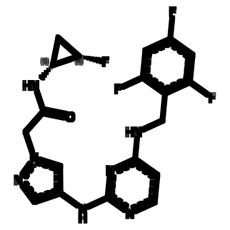 O=C(Cn1cc(Nc2nccc(NCc3c(F)cc(F)cc3F)n2)cn1)N[C@@H]1C[C@@H]1F